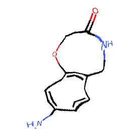 Nc1ccc2c(c1)OCC(=O)NC2